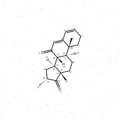 C[C@]12CCC=CC1=CC(=O)[C@@H]1[C@@H]2CC[C@]2(C)C(=O)[C@H](F)C[C@@H]12